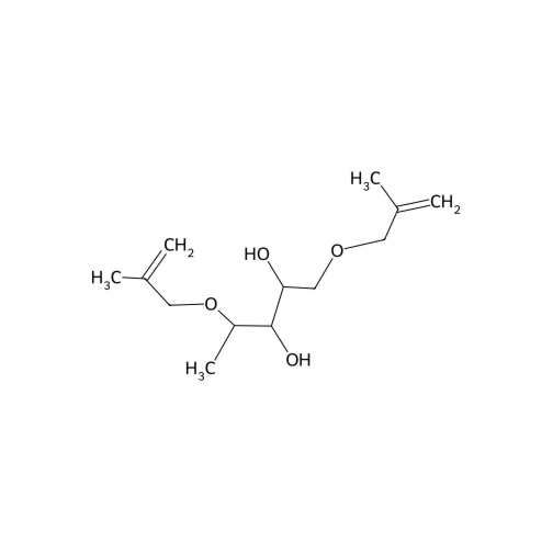 C=C(C)COCC(O)C(O)C(C)OCC(=C)C